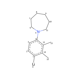 [Li][c]1ccc(N2CCCCCC2)c(C)c1C